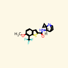 COc1ccc2cc(C(=O)N[C@@H]3C4CCN(CC4)C34CC4)sc2c1C(F)(F)F